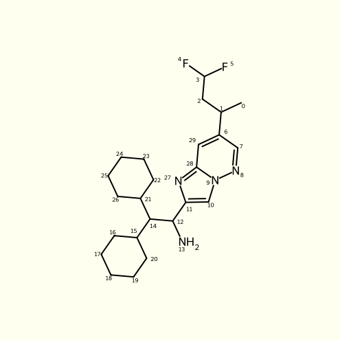 CC(CC(F)F)c1cnn2cc(C(N)C(C3CCCCC3)C3CCCCC3)nc2c1